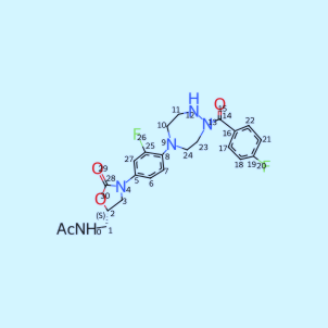 CC(=O)NC[C@H]1CN(c2ccc(N3CCNN(C(=O)c4ccc(F)cc4)CC3)c(F)c2)C(=O)O1